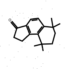 CC1(C)CCC(C)(C)c2c1ccc1c2CCC1=O